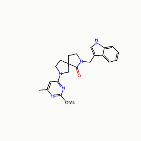 COc1nc(C)cc(N2CCC3(CCN(Cc4c[nH]c5ccccc45)C3=O)C2)n1